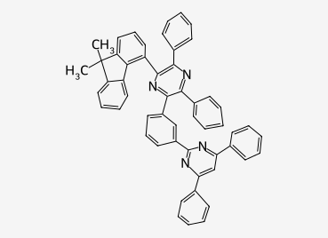 CC1(C)c2ccccc2-c2c(-c3nc(-c4cccc(-c5nc(-c6ccccc6)cc(-c6ccccc6)n5)c4)c(-c4ccccc4)nc3-c3ccccc3)cccc21